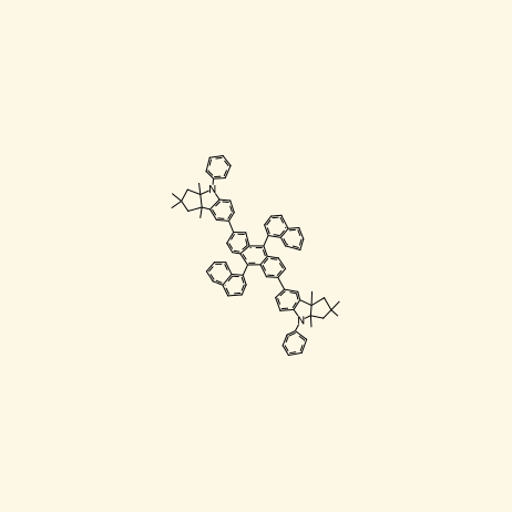 CC1(C)CC2(C)c3cc(-c4ccc5c(-c6cccc7ccccc67)c6cc(-c7ccc8c(c7)C7(C)CC(C)(C)CC7(C)N8c7ccccc7)ccc6c(-c6cccc7ccccc67)c5c4)ccc3N(c3ccccc3)C2(C)C1